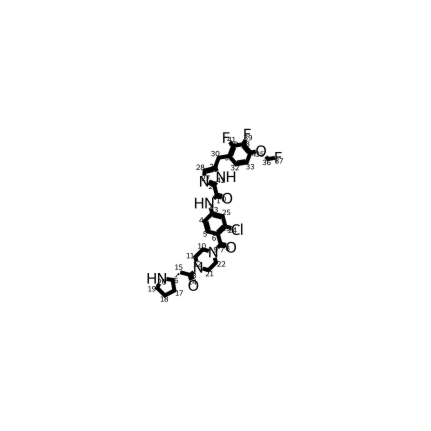 O=C(Nc1ccc(C(=O)N2CCN(C(=O)C[C@@H]3CCCN3)CC2)c(Cl)c1)c1ncc(Cc2ccc(OCF)c(F)c2F)[nH]1